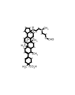 CC1C(C2=CCC(C)(C(=O)O)CC2)=CCC2(C)C1CCC1(C)C2CCC2C3CCCC3(NCCN(C)CCOC=O)CC[C@]21C